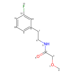 COCC(=O)NCCc1cccc(F)c1